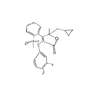 CC1(CC2CC2)OC(=O)C(Oc2ccc(F)c(F)c2)=C1c1ccccc1S(C)(=O)=O